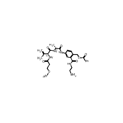 C=C(C)[C@H](NC(=O)CCOCCC)C(=O)N[C@@H](C)C(=O)Nc1ccc(COC(=O)C(C)C)c(C(=O)NCCN)c1